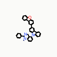 C=N/C(=N\Cc1ccccc1-n1c2ccccc2c2cc(-c3ccc4oc5ccccc5c4c3)ccc21)c1ccccc1